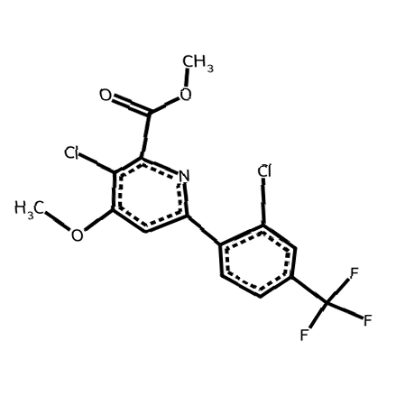 COC(=O)c1nc(-c2ccc(C(F)(F)F)cc2Cl)cc(OC)c1Cl